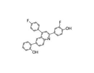 Oc1ccc(-c2cc(-c3ccc(F)cc3)c3cc(-c4ccccc4O)ccc3n2)cc1F